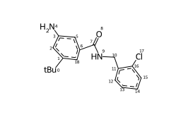 CC(C)(C)c1cc(N)cc(C(=O)NCc2ccccc2Cl)c1